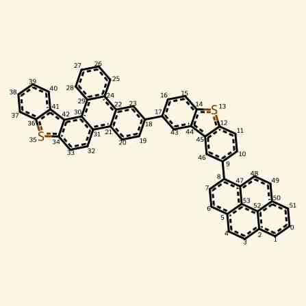 c1cc2ccc3ccc(-c4ccc5sc6ccc(-c7ccc8c(c7)c7ccccc7c7c8ccc8sc9ccccc9c87)cc6c5c4)c4ccc(c1)c2c34